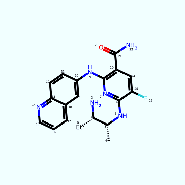 CC[C@H](N)[C@@H](C)Nc1nc(Nc2ccc3ncccc3c2)c(C(N)=O)cc1F